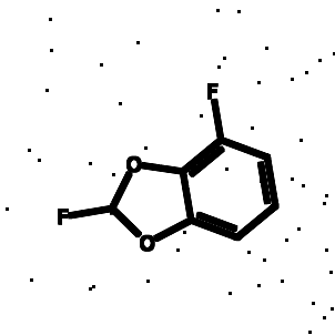 F[C]1Oc2cccc(F)c2O1